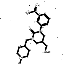 COCC1CN(CC2CCN(C)CC2)C(=O)N(c2cccc(C(=N)N)c2)C1